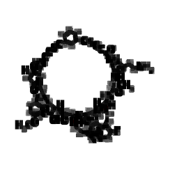 COc1ccc(C[C@@H]2NC(=O)[C@H]([C@H](C)O)NC(=O)[C@@H]3CCCc4cn(nn4)CCCC[C@H](NC(=O)[C@@H](C)NC(=O)[C@H](CCCCN)NC(=O)CCSCc4cccc(c4)CSCCNC(=O)[C@]4(C)CCCN4C2=O)C(=O)N[C@@H](Cc2c[nH]c4ccc(F)cc24)C(=O)N3)cc1